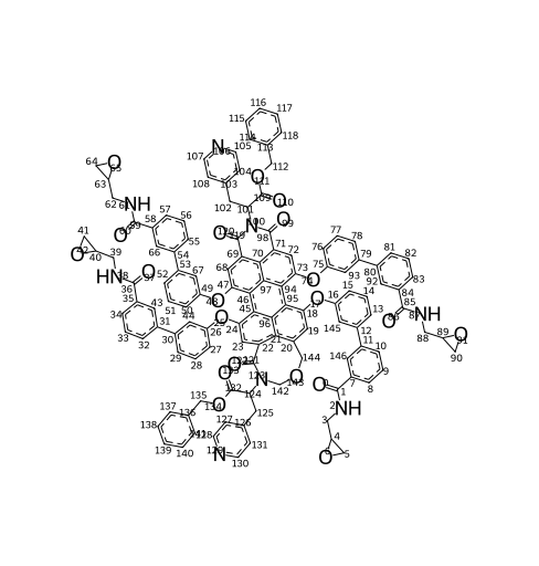 O=C(NCC1CO1)c1cccc(-c2cccc(Oc3cc4c5c(cc(Oc6cccc(-c7cccc(C(=O)NCC8CO8)c7)c6)c6c7c(Oc8cccc(-c9cccc(C(=O)NCC%10CO%10)c9)c8)cc8c9c(cc(Oc%10cccc(-c%11cccc(C(=O)NCC%12CO%12)c%11)c%10)c(c3c56)c97)C(=O)N(C(Cc3ccncc3)C(=O)OCc3ccccc3)C8=O)C(=O)N(C(Cc3ccncc3)C(=O)OCc3ccccc3)COC4)c2)c1